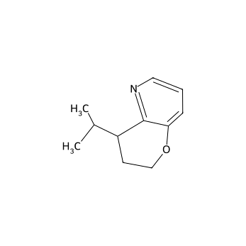 CC(C)C1CCOc2cccnc21